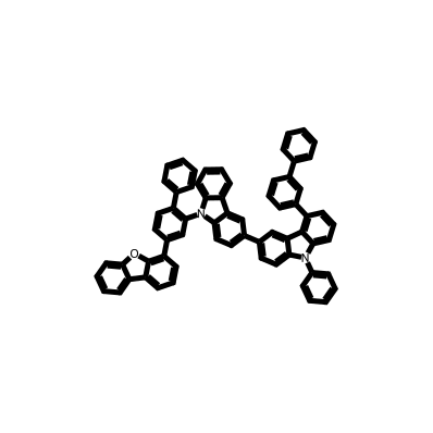 c1ccc(-c2cccc(-c3cccc4c3c3cc(-c5ccc6c(c5)c5ccccc5n6-c5cc(-c6cccc7c6oc6ccccc67)ccc5-c5ccccc5)ccc3n4-c3ccccc3)c2)cc1